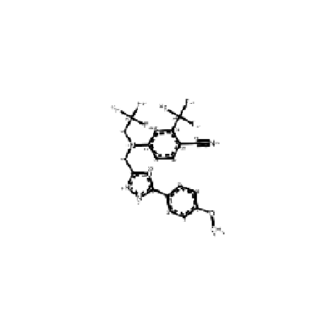 COc1ccc(-c2nnc(CN(CC(F)(F)F)c3ccc(C#N)c(C(F)(F)F)c3)o2)cc1